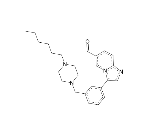 CCCCCCN1CCN(Cc2cccc(-c3cnc4ccc(C=O)cn34)c2)CC1